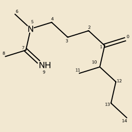 C=C(CCCN(C)C(C)=N)C(C)CCC